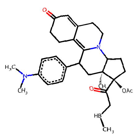 CBCC(=O)[C@@]1(OC(C)=O)CCC2N3CCC4=CC(=O)CCC4=C3C(c3ccc(N(C)C)cc3)C[C@@]21C